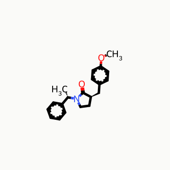 COc1ccc(C[C@H]2CCN([C@@H](C)c3ccccc3)C2=O)cc1